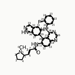 CN1CCCC1C=CC(=O)Nc1ccc2ncnc(Nc3ccccc3F)c2c1-c1ccc2cn[nH]c2c1